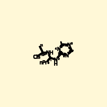 CCCC(Nc1ncncn1)NC(C)Cl